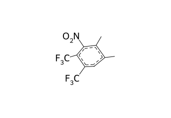 Cc1cc(C(F)(F)F)c(C(F)(F)F)c([N+](=O)[O-])c1C